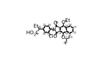 CCOc1c2c(c(OC(F)F)c3ccccc13)C(=O)N(c1ccc(C(CC)C(=O)O)cc1Cl)C2=O